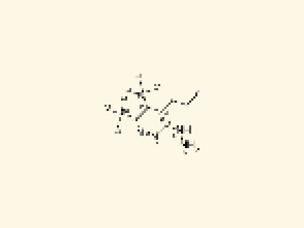 CCCc1c(NN)nnc(C(C)(C)C)c1C(C)(C)C